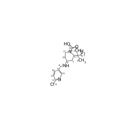 CC(C)(C)C1CC(NCc2ccc(Cl)nc2)CCN1C(=O)O